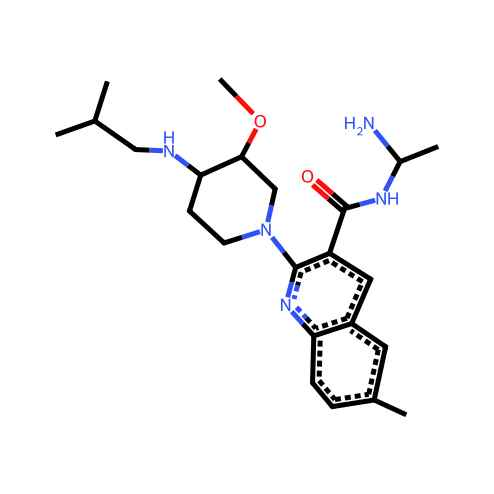 COC1CN(c2nc3ccc(C)cc3cc2C(=O)NC(C)N)CCC1NCC(C)C